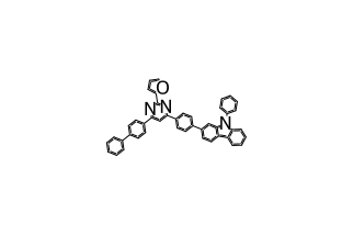 c1ccc(-c2ccc(-c3cc(-c4ccc(-c5ccc6c7ccccc7n(-c7ccccc7)c6c5)cc4)nc(-c4ccco4)n3)cc2)cc1